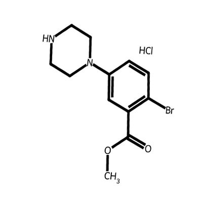 COC(=O)c1cc(N2CCNCC2)ccc1Br.Cl